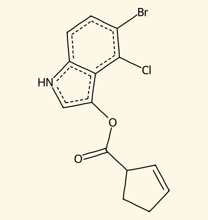 O=C(Oc1c[nH]c2ccc(Br)c(Cl)c12)C1C=CCC1